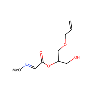 C=CCOCC(CO)OC(=O)/C=N/OC